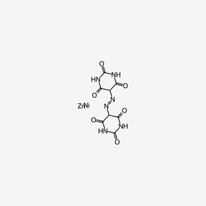 O=C1NC(=O)C(N=NC2C(=O)NC(=O)NC2=O)C(=O)N1.[Ni].[Zn]